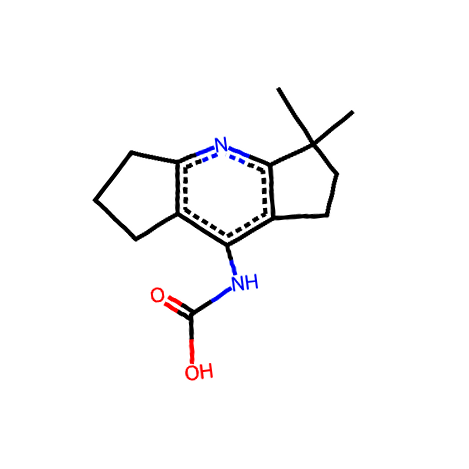 CC1(C)CCc2c1nc1c(c2NC(=O)O)CCC1